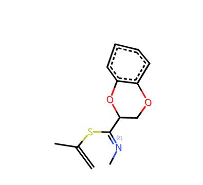 C=C(C)S/C(=N\C)C1COc2ccccc2O1